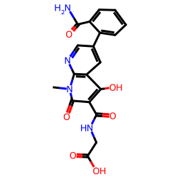 Cn1c(=O)c(C(=O)NCC(=O)O)c(O)c2cc(-c3ccccc3C(N)=O)cnc21